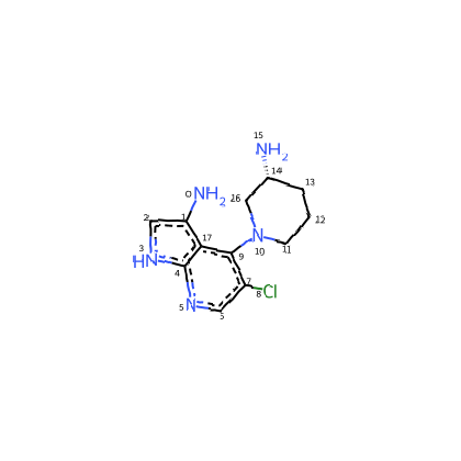 Nc1c[nH]c2ncc(Cl)c(N3CCC[C@@H](N)C3)c12